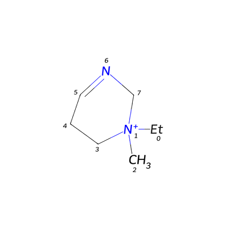 CC[N+]1(C)CCC=NC1